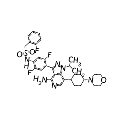 CC(C)n1nc(-c2cc(F)c(NS(=O)(=O)Cc3ccccc3F)cc2F)c2c(N)ncc(C3CCC(N4CCOCC4)CC3)c21